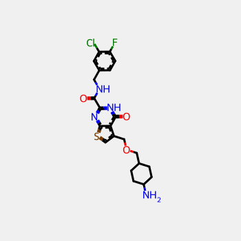 NC1CCC(COCc2csc3nc(C(=O)NCc4ccc(F)c(Cl)c4)[nH]c(=O)c23)CC1